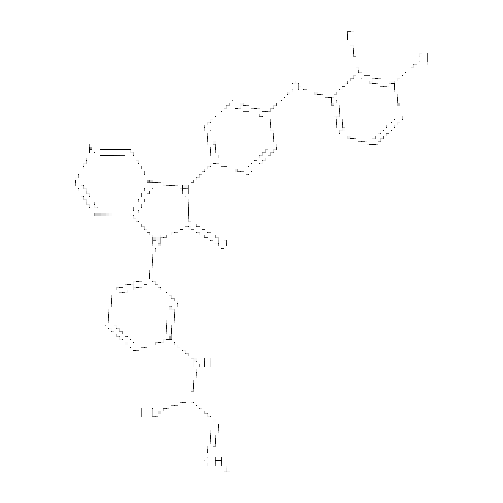 C=CC(O)Nc1cccc(-n2c(=O)n(-c3ccc(Oc4cccc(Cl)c4F)cc3)c3cnccc32)c1